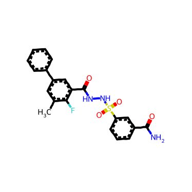 Cc1cc(-c2ccccc2)cc(C(=O)NNS(=O)(=O)c2cccc(C(N)=O)c2)c1F